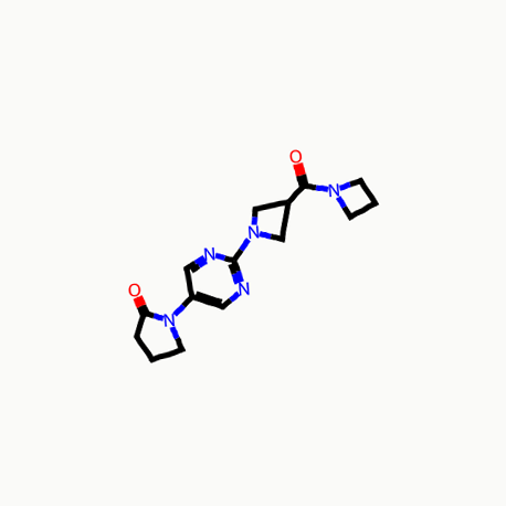 O=C(C1CN(c2ncc(N3CCCC3=O)cn2)C1)N1CCC1